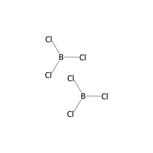 ClB(Cl)Cl.ClB(Cl)Cl